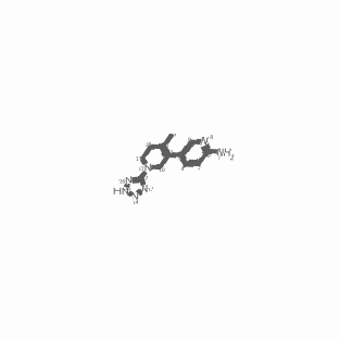 CC1=C(c2ccc(N)nc2)CN(c2nn[nH]n2)CC1